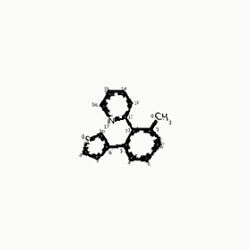 Cc1cccc(-c2ccsc2)c1-c1ccccn1